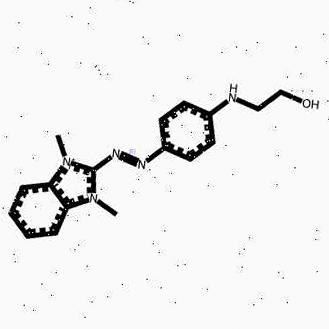 Cn1c(/N=N/c2ccc(NCCO)cc2)[n+](C)c2ccccc21